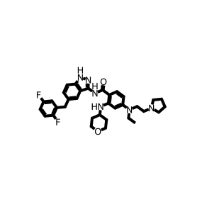 CCN(CCN1CCCC1)c1ccc(C(=O)Nc2n[nH]c3ccc(Cc4cc(F)ccc4F)cc23)c(NC2CCOCC2)c1